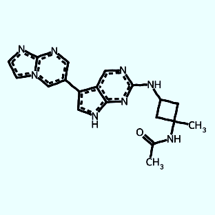 CC(=O)NC1(C)CC(Nc2ncc3c(-c4cnc5nccn5c4)c[nH]c3n2)C1